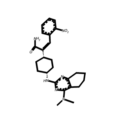 CN(C)c1nc(N[C@H]2CC[C@@H](C(=Cc3ccccc3[N+](=O)[O-])C(N)=O)CC2)nc2c1CCCC2